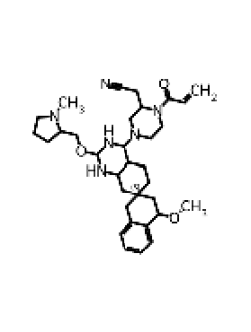 C=CC(=O)N1CCN(C2NC(OCC3CCCN3C)NC3C[C@]4(CCC32)Cc2ccccc2C(OC)C4)CC1CC#N